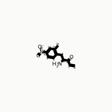 C=CC(=O)C(N)Cc1ccc([N+](=O)[O-])cc1C